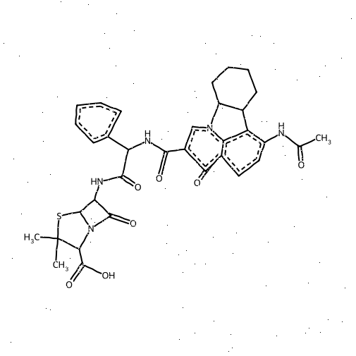 CC(=O)Nc1ccc2c(=O)c(C(=O)NC(C(=O)NC3C(=O)N4C3SC(C)(C)C4C(=O)O)c3ccccc3)cn3c2c1C1CCCCC13